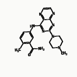 Cc1ccc(Nc2nc(N3CCN(C)CC3)nc3nccnc23)cc1C(N)=O